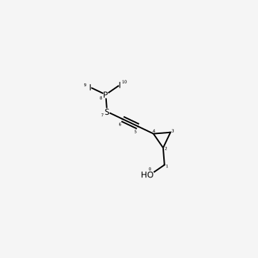 OCC1CC1C#CSP(I)I